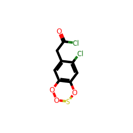 O=C(Cl)Cc1cc2oosoc2cc1Cl